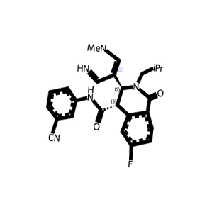 CN/C=C(\C=N)[C@@H]1[C@@H](C(=O)Nc2cccc(C#N)c2)c2cc(F)ccc2C(=O)N1CC(C)C